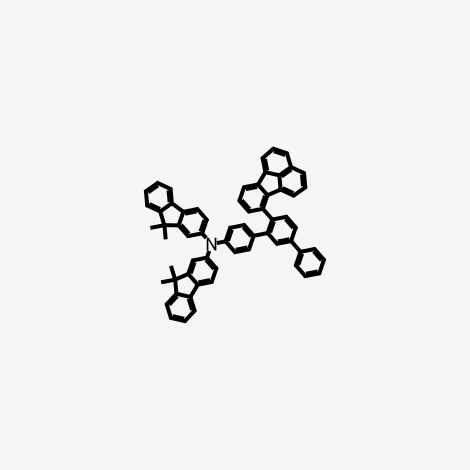 CC1(C)c2ccccc2-c2ccc(N(c3ccc(-c4cc(-c5ccccc5)ccc4-c4cccc5c4-c4cccc6cccc-5c46)cc3)c3ccc4c(c3)C(C)(C)c3ccccc3-4)cc21